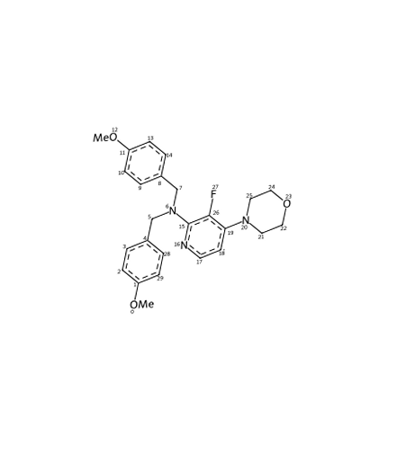 COc1ccc(CN(Cc2ccc(OC)cc2)c2nc[c]c(N3CCOCC3)c2F)cc1